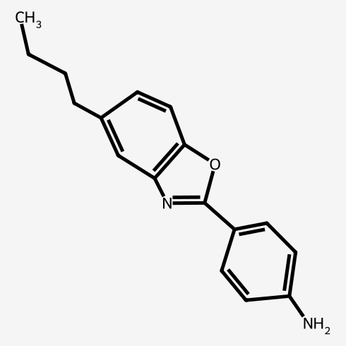 CCCCc1ccc2oc(-c3ccc(N)cc3)nc2c1